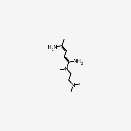 C/C(N)=C/C=C(\N)N(C)CCN(C)C